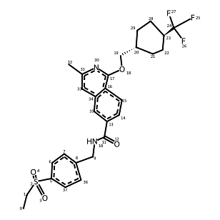 CCS(=O)(=O)c1ccc(CNC(=O)c2ccc3c(OC[C@H]4CC[C@H](C(F)(F)F)CC4)nc(C)cc3c2)cc1